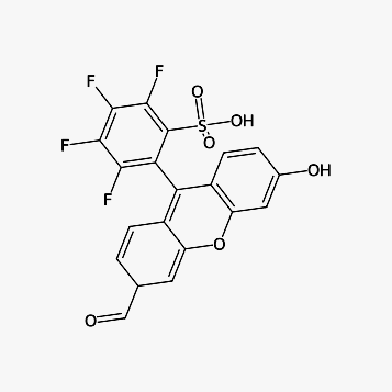 O=CC1C=CC2=C(c3c(F)c(F)c(F)c(F)c3S(=O)(=O)O)c3ccc(O)cc3OC2=C1